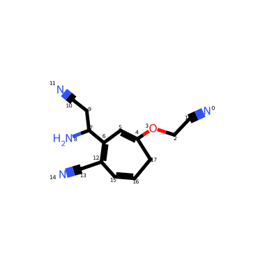 N#CCOC1=CC(C(N)CC#N)=C(C#N)C=CC1